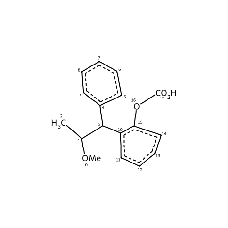 COC(C)C(c1ccccc1)c1ccccc1OC(=O)O